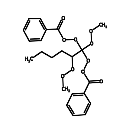 CCCCC(OOC)C(OOC)(OOC(=O)c1ccccc1)OOC(=O)c1ccccc1